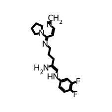 C=N/C=C\C(=N/CCC/C(N)=C/Nc1ccc(F)c(F)c1)N1CCCC1